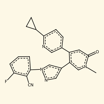 Cn1cc(-c2cnn(-c3cccc(F)c3C#N)c2)c(-c2ccc(C3CC3)nc2)cc1=O